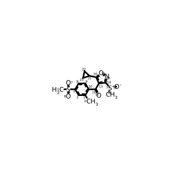 Cc1cc(S(C)(=O)=O)ccc1C(=O)c1c([S+](C)[O-])noc1C1CC1